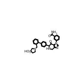 NC(=O)c1cccc(-n2cnc3c2C(=O)C(c2ccc(-c4ccccc4CN4CC[C@H](O)C4)cc2)NC3)c1